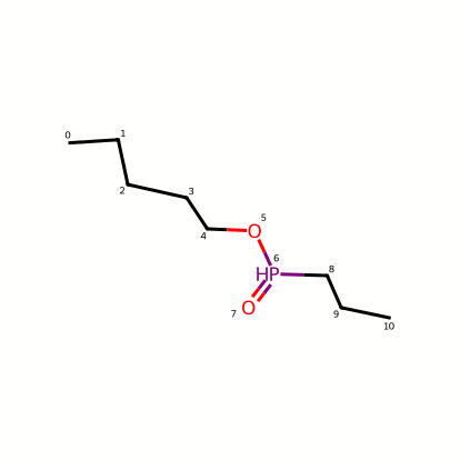 CCCCCO[PH](=O)CCC